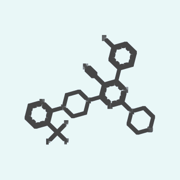 N#Cc1c(-c2cccc(F)c2)nc(N2CCOCC2)nc1N1CCN(c2ncccc2C(F)(F)F)CC1